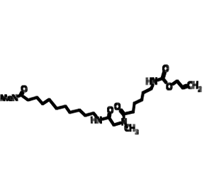 C=CCOC(=O)NCCCCCC(=O)N(C)CC(=O)NCCCCCCCCCCC(=O)NC